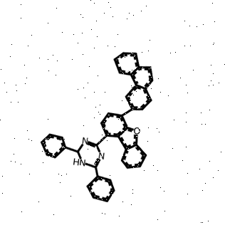 c1ccc(C2=NC(c3ccc(-c4ccc5ccc6ccccc6c5c4)c4oc5ccccc5c34)=NC(c3ccccc3)N2)cc1